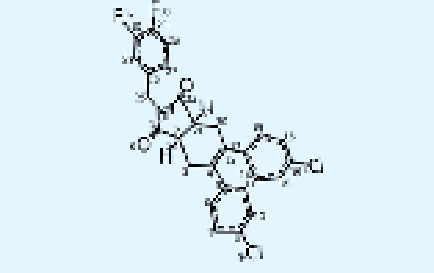 O=C1[C@H]2CC(c3ccc(Cl)cc3)=C(c3ccc(Cl)cc3)C[C@H]2C(=O)N1Cc1ccc(F)c(F)c1